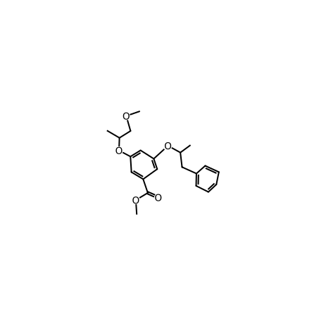 COCC(C)Oc1cc(OC(C)Cc2ccccc2)cc(C(=O)OC)c1